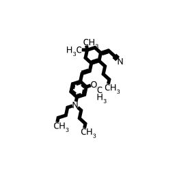 CCCCC1=C(C=Cc2ccc(N(CCCC)CCCC)cc2OC)CC(C)(C)CC1=CC#N